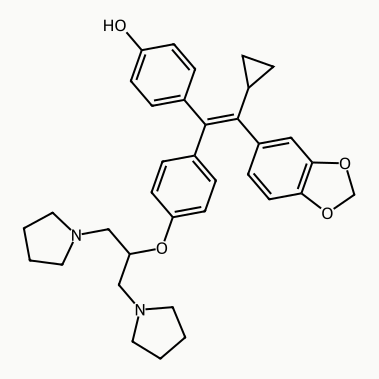 Oc1ccc(C(=C(c2ccc3c(c2)OCO3)C2CC2)c2ccc(OC(CN3CCCC3)CN3CCCC3)cc2)cc1